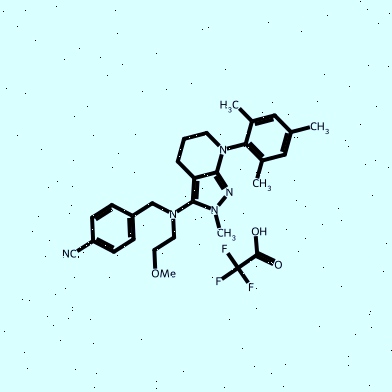 COCCN(Cc1ccc(C#N)cc1)c1c2c(nn1C)N(c1c(C)cc(C)cc1C)CCC2.O=C(O)C(F)(F)F